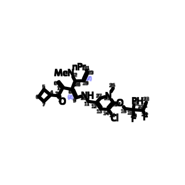 C=C(C(=O)C1CCC1)/C(=C/NCC1=CC(Cl)=C(OCC(F)(P)C(C)F)N(C)C1)C(/C=C\CCC)NC